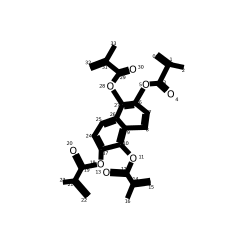 C=C(C)C(=O)Oc1ccc2c(OC(=O)C(=C)C)c(OC(=O)C(=C)C)ccc2c1OC(=O)C(=C)C